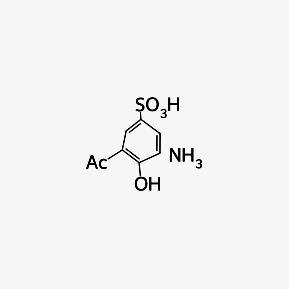 CC(=O)c1cc(S(=O)(=O)O)ccc1O.N